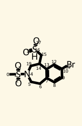 CS(=O)(=O)N1CCc2ccc(Br)cc2C(C[SH](=O)=O)C1